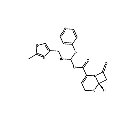 Cc1nc(CNC(OC(=O)C2=CCS[C@H]3CC(=O)N23)Sc2ccncc2)cs1